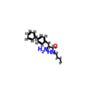 CCCCNC(=O)C(N)Cc1ccc(-c2ccccc2)cc1